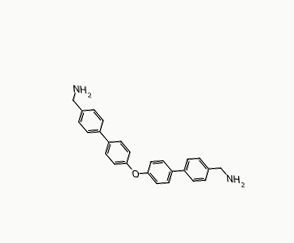 NCc1ccc(-c2ccc(Oc3ccc(-c4ccc(CN)cc4)cc3)cc2)cc1